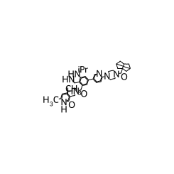 Cc1cc(C)c(CNC(=O)c2cc(-c3ccc(N4CCN(C(=O)C56CC7CC5CC7C6)CC4)nc3)cc(NC(C)C)c2C=N)c(=O)[nH]1